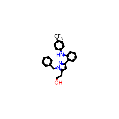 OCCc1cc(-c2ccccc2Nc2ccc(C(F)(F)F)cc2)nn1Cc1ccccc1